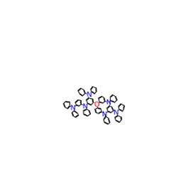 c1ccc(N(c2ccccc2)c2cccc(N(c3ccccc3)c3cc(Oc4cccc(N(c5ccccc5)c5cc(N(c6ccccc6)c6ccccc6)cc(N(c6ccccc6)c6ccccc6)c5)c4)cc(N(c4ccccc4)c4ccccc4)c3)c2)cc1